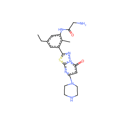 CCc1cc(NC(=O)CN)c(C)c(-c2nn3c(=O)cc(N4CCNCC4)nc3s2)c1